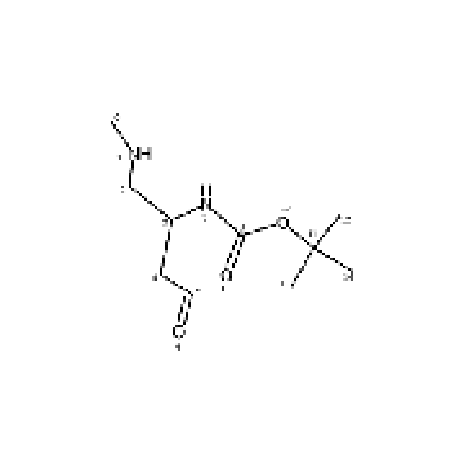 CNCC(CC=O)NC(=O)OC(C)(C)C